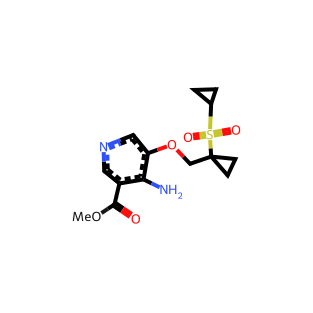 COC(=O)c1cncc(OCC2(S(=O)(=O)C3CC3)CC2)c1N